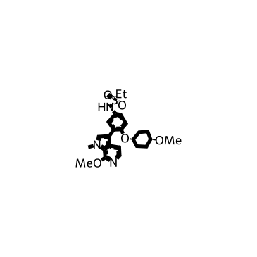 CCS(=O)(=O)Nc1ccc(O[C@H]2CC[C@@H](OC)CC2)c(-c2cn(C)c3c(OC)nccc23)c1